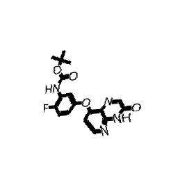 CC(C)(C)OC(=O)Nc1cc(Oc2ccnc3[nH]c(=O)cnc23)ccc1F